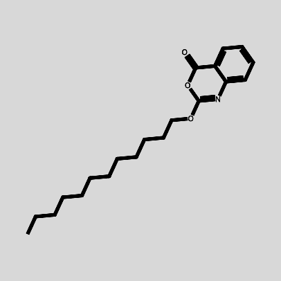 CCCCCCCCCCCCOc1nc2ccccc2c(=O)o1